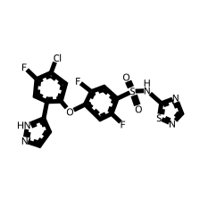 O=S(=O)(Nc1ncns1)c1cc(F)c(Oc2cc(Cl)c(F)cc2-c2ccn[nH]2)cc1F